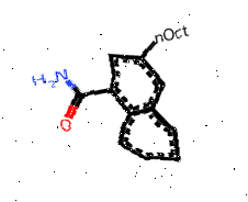 CCCCCCCCc1cc(C(N)=O)c2ccccc2c1